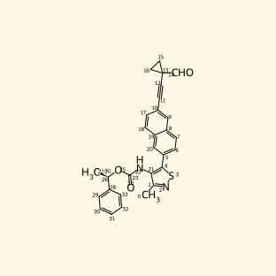 Cc1nsc(-c2ccc3cc(C#CC4(C=O)CC4)ccc3c2)c1NC(=O)O[C@H](C)c1ccccc1